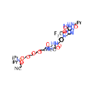 COC(=O)[C@H](CCC(=O)NCCCOCCOCCOCCOP(OCCC#N)N(C(C)C)C(C)C)NC(=O)c1ccc(N(Cc2cnc3nc(NC(=O)C(C)C)[nH]c(=O)c3n2)C(=O)C(F)(F)F)cc1